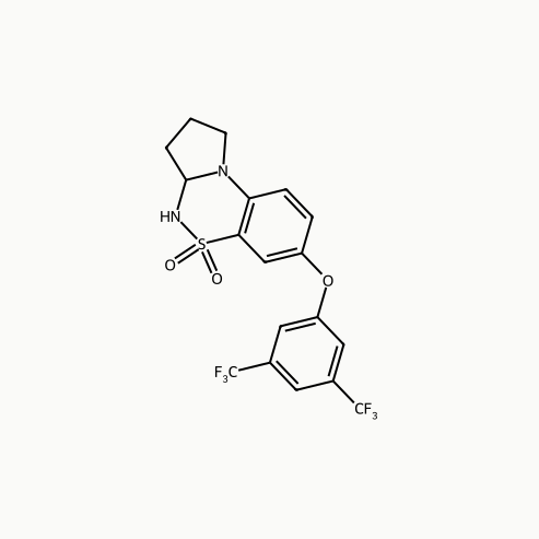 O=S1(=O)NC2CCCN2c2ccc(Oc3cc(C(F)(F)F)cc(C(F)(F)F)c3)cc21